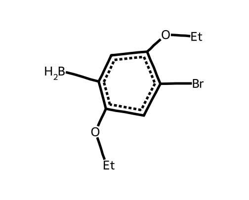 Bc1cc(OCC)c(Br)cc1OCC